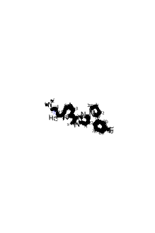 CN(C)/C=C/C(O)c1cccc(-c2cnc3ccc(N4CCC[C@@H]4c4cccc(F)c4)nn23)n1